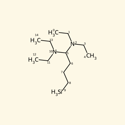 CCN(CC)C(CCC[SiH3])N(CC)CC